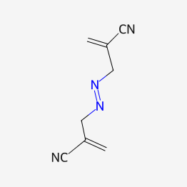 C=C(C#N)CN=NCC(=C)C#N